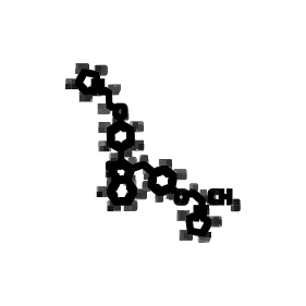 C[C@@H](COc1ccc(Cc2c(-c3ccc(OCCN4CCCC4)cc3)sc3ccccc23)cc1)N1CCCC1